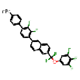 CCCc1ccc(-c2ccc(-c3ccc4cc(C(F)(F)Oc5cc(F)c(F)c(F)c5)ccc4c3)c(F)c2F)cc1